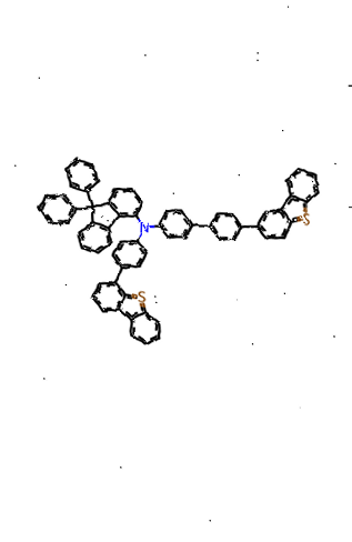 c1ccc(C2(c3ccccc3)c3ccccc3-c3c(N(c4ccc(-c5ccc(-c6ccc7sc8ccccc8c7c6)cc5)cc4)c4ccc(-c5cccc6c5sc5ccccc56)cc4)cccc32)cc1